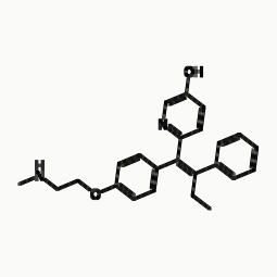 CC/C(=C(\c1ccc(OCCNC)cc1)c1ccc(O)cn1)c1ccccc1